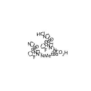 CC(C)(C)CN(Cc1cc(S(=O)(=O)c2cccnc2)n(-c2ccccc2F)n1)C(=O)O.CNCc1cc(S(=O)(=O)c2cccnc2)n(-c2ccccc2F)n1.Cl